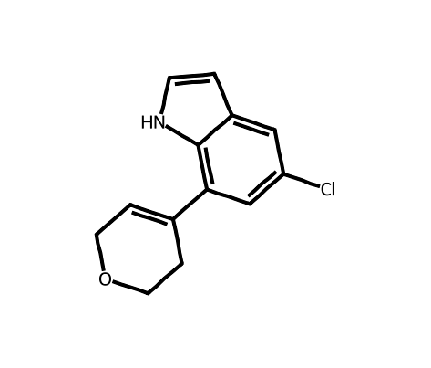 Clc1cc(C2=CCOCC2)c2[nH]ccc2c1